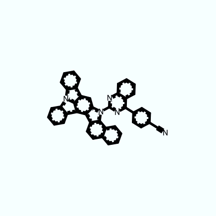 N#Cc1ccc(-c2nc(-n3c4cc5c6ccccc6n6c7ccccc7c(c4c4ccc7ccccc7c43)c56)nc3ccccc23)cc1